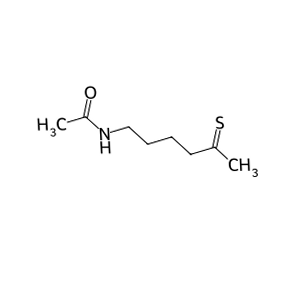 CC(=O)NCCCCC(C)=S